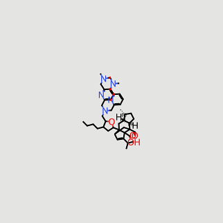 CCCCC1CC(C23C[C@@H]4[C@H](C)CC[C@H]4C4(C=O)CC2C=C(C(C)C)C34C(=O)O)OC1CN(Cc1cccc(CN(C)C)n1)Cc1cccc(CN(C)C)n1